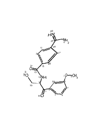 COc1cccc(C(=O)[C@H](CO)NC(=O)c2ccc(C(=N)N)cc2)c1